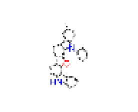 Cc1ccc2c(c1)c1ccc3c4ccc5[nH]c6ccccc6c5c4oc3c1n2-c1ccccc1